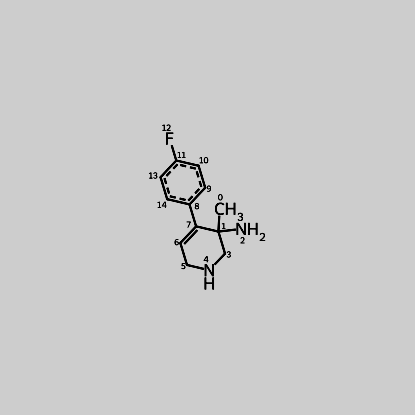 CC1(N)CNCC=C1c1ccc(F)cc1